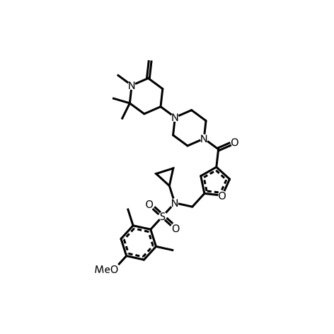 C=C1CC(N2CCN(C(=O)c3coc(CN(C4CC4)S(=O)(=O)c4c(C)cc(OC)cc4C)c3)CC2)CC(C)(C)N1C